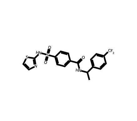 CC(NC(=O)c1ccc(S(=O)(=O)Nc2nccs2)cc1)c1ccc(C(F)(F)F)cc1